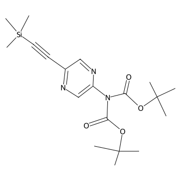 CC(C)(C)OC(=O)N(C(=O)OC(C)(C)C)c1cnc(C#C[Si](C)(C)C)cn1